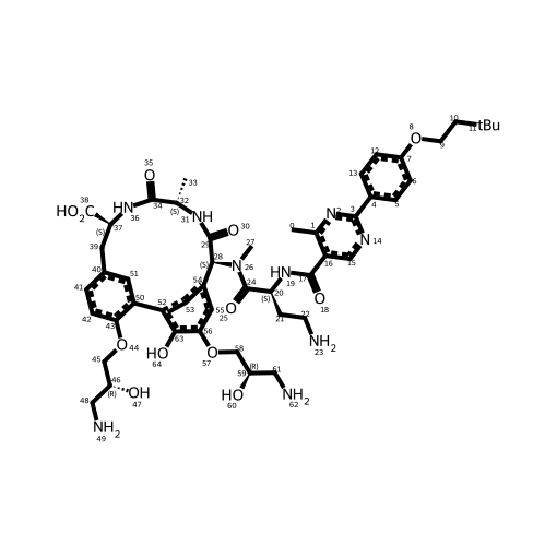 Cc1nc(-c2ccc(OCCC(C)(C)C)cc2)ncc1C(=O)N[C@@H](CCN)C(=O)N(C)[C@@H]1C(=O)N[C@@H](C)C(=O)N[C@H](C(=O)O)Cc2ccc(OC[C@H](O)CN)c(c2)-c2cc1cc(OC[C@H](O)CN)c2O